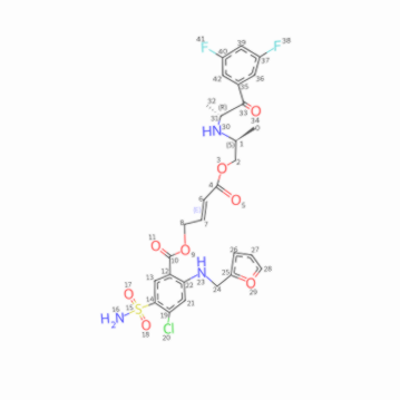 C[C@@H](COC(=O)/C=C/COC(=O)c1cc(S(N)(=O)=O)c(Cl)cc1NCc1ccco1)N[C@H](C)C(=O)c1cc(F)cc(F)c1